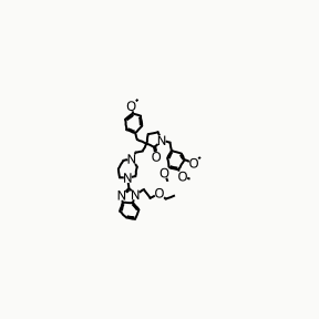 CCOCCn1c(N2CCCN(CCC3(Cc4ccc(OC)cc4)CCN(Cc4cc(OC)c(OC)c(OC)c4)C3=O)CC2)nc2ccccc21